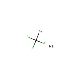 CCC(F)(F)F.[Na]